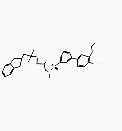 COc1ccc(-c2cccc(S(=O)(=O)N(C)CC(O)CNC(C)(C)CC3Cc4ccccc4C3)c2)cc1CCC(=O)O